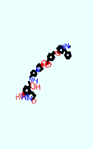 CNC(c1ccccc1)c1cccc(OCc2ccc(C(=O)OC3CCN(c4ccc(CNCC(O)c5ccc(O)c6[nH]c(=O)ccc56)cc4)CC3)cc2)c1